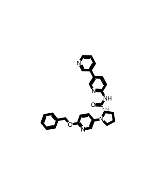 O=C(Nc1ccc(-c2cccnc2)cn1)[C@@H]1CCCN1c1ccc(OCc2ccccc2)nc1